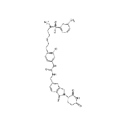 Cc1cccc(S(=O)(=O)N(C)CCOCCc2ccc(NC(=O)NCc3ccc4c(c3)CN(C3CCC(=O)NC3=O)C4=O)cc2Cl)c1